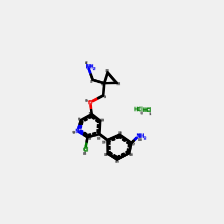 Cl.Cl.NCC1(COc2cnc(Cl)c(-c3cccc(N)c3)c2)CC1